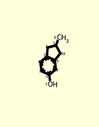 CC1Cc2ccc(O)cc2C1